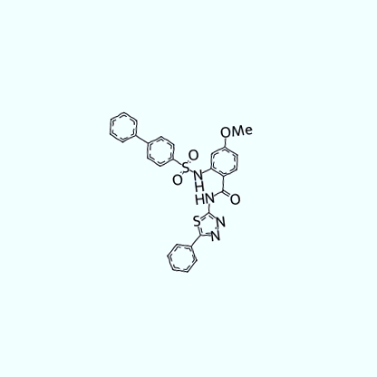 COc1ccc(C(=O)Nc2nnc(-c3ccccc3)s2)c(NS(=O)(=O)c2ccc(-c3ccccc3)cc2)c1